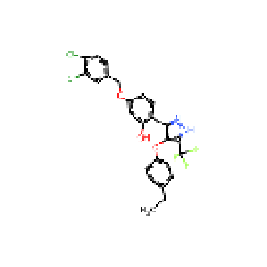 CCc1ccc(Oc2c(-c3ccc(OCc4ccc(Cl)c(Cl)c4)cc3O)n[nH]c2C(F)(F)F)cc1